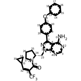 Nc1ncnc2c1c(-c1ccc(Oc3ccccc3)cc1)nn2C[C@H]1CCCN1C(=O)/C(=C\C1CC1)C(F)(F)F